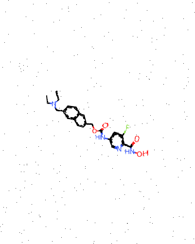 CCN(CC)Cc1ccc2cc(COC(=O)Nc3cnc(C(=O)NO)c(F)c3)ccc2c1